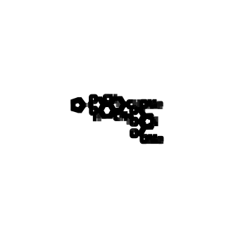 C=C1CCC2[C@]3(C)CO[C@@H](C4CCCC4)O[C@@H]3CC[C@@]2(C)[C@@H]1CCOc1c(C(=O)OC)cncc1C(=O)OC